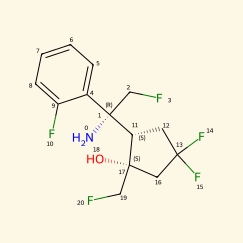 N[C@@](CF)(c1ccccc1F)[C@@H]1CC(F)(F)C[C@@]1(O)CF